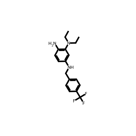 CCN(CC)c1cc(NCc2ccc(C(F)(F)F)cc2)ccc1N